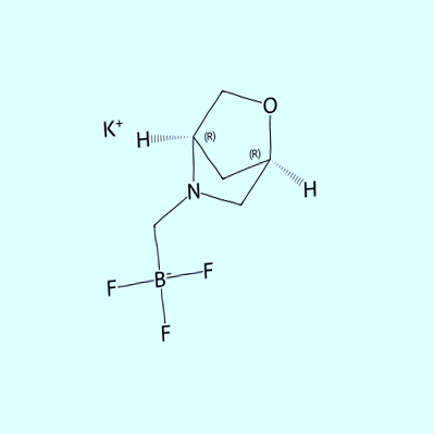 F[B-](F)(F)CN1C[C@H]2C[C@@H]1CO2.[K+]